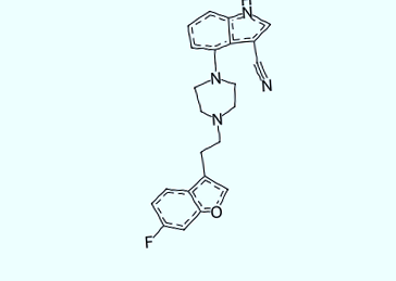 N#Cc1c[nH]c2cccc(N3CCN(CCc4coc5cc(F)ccc45)CC3)c12